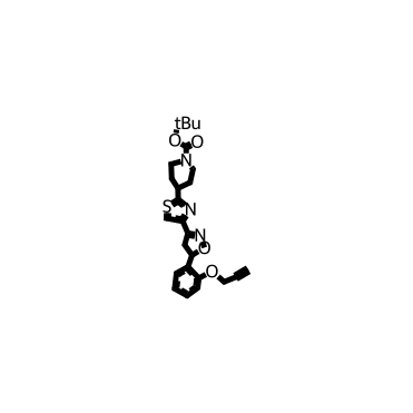 C#CCOc1ccccc1C1CC(c2csc(C3CCN(C(=O)OC(C)(C)C)CC3)n2)=NO1